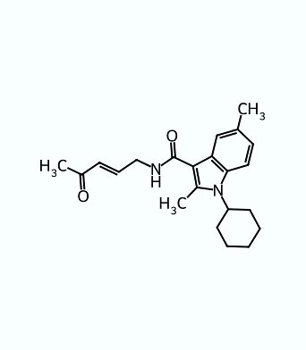 CC(=O)/C=C/CNC(=O)c1c(C)n(C2CCCCC2)c2ccc(C)cc12